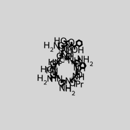 CC(C)C[C@@H]1NC(=O)[C@@H](Cc2ccccc2)NC(=O)[C@H](CCN)NC(=O)[C@@H](NC(=O)[C@H](CCN)NC(=O)[C@@H](NC(=O)C(O)C2CCCCC2)C(C)O)CCNC(=O)[C@H](C(C)O)NC(=O)[C@H](CCN)NC(=O)[C@H](CCN)NC1=O